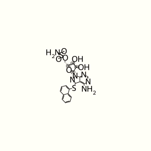 Nc1ncnc2c1c(Sc1cccc3ccccc13)nn2[C@@H]1O[C@H](COS(N)(=O)=O)[C@@H](O)[C@H]1O